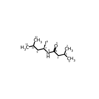 CC(C)CC(=O)N[C@H](I)CC(C)C